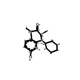 C[C@@H]1C(=O)N(C)c2ccc(Cl)nc2N1C1CCCCC1